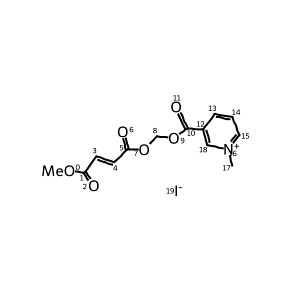 COC(=O)C=CC(=O)OCOC(=O)c1ccc[n+](C)c1.[I-]